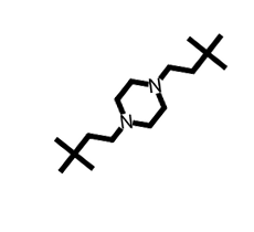 CC(C)(C)CCN1CCN(CCC(C)(C)C)CC1